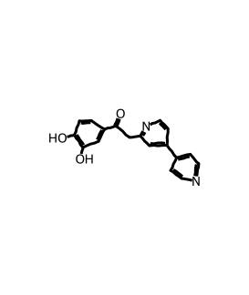 O=C(Cc1cc(-c2ccncc2)ccn1)c1ccc(O)c(O)c1